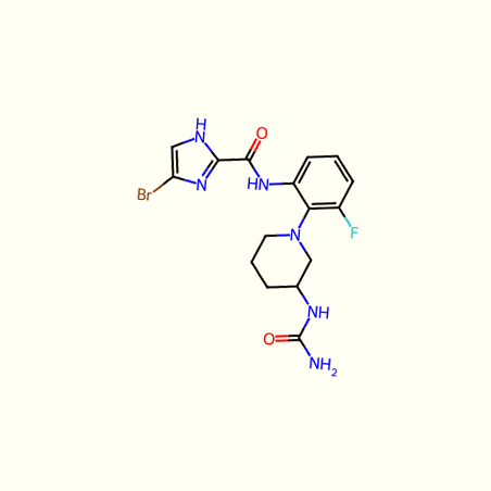 NC(=O)NC1CCCN(c2c(F)cccc2NC(=O)c2nc(Br)c[nH]2)C1